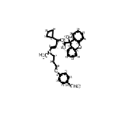 CN(/C=C/C(OC(=O)C1(O)c2ccccc2Oc2ccccc21)C1CCC1)CCCOc1ccc(C=O)cc1